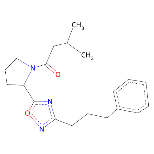 CC(C)CC(=O)N1CCCC1c1nc(CCCc2ccccc2)no1